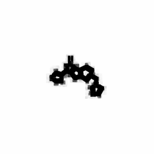 c1cn(Cc2ccc3c(c2)Cc2c(-c4ccsc4)n[nH]c2-3)cn1